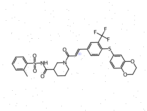 Cc1ccccc1S(=O)(=O)NC(=O)C1CCCN(C(=O)/C=C/c2ccc(Sc3ccc4c(c3)OCCO4)c(C(F)(F)F)c2)C1